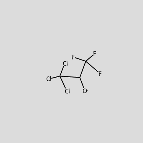 [O]C(C(F)(F)F)C(Cl)(Cl)Cl